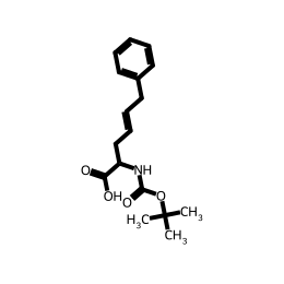 CC(C)(C)OC(=O)NC(C/C=C/Cc1ccccc1)C(=O)O